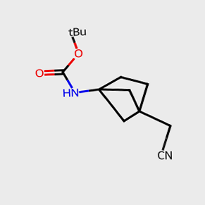 CC(C)(C)OC(=O)NC12CCC(CC#N)(C1)C2